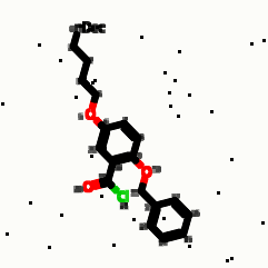 CCCCCCCCCCCCCCOc1ccc(OCc2ccccc2)c(C(=O)Cl)c1